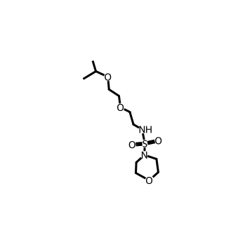 CC(C)OCCOCCNS(=O)(=O)N1CCOCC1